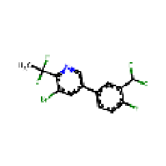 CC(F)(F)c1ncc(-c2ccc(F)c(C(F)F)c2)cc1Br